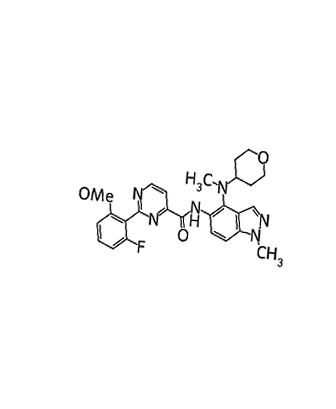 COc1cccc(F)c1-c1nccc(C(=O)Nc2ccc3c(cnn3C)c2N(C)C2CCOCC2)n1